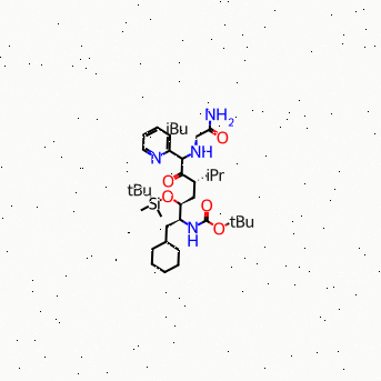 CC[C@H](C)[C@H](NC(C(=O)[C@@H](C[C@H](O[Si](C)(C)C(C)(C)C)[C@H](CC1CCCCC1)NC(=O)OC(C)(C)C)C(C)C)c1ccccn1)C(N)=O